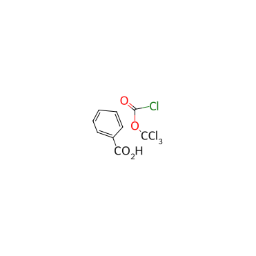 O=C(Cl)OC(Cl)(Cl)Cl.O=C(O)c1ccccc1